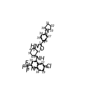 O=C(N[C@@H]1CCC[C@H](Nc2cc(C(F)(F)F)nc3ccc(Cl)cc23)C1)c1ccc(N2CCCC2)cc1